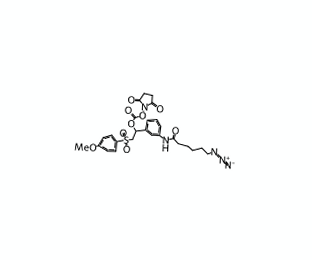 COc1ccc(S(=O)(=O)CC(OC(=O)ON2C(=O)CCC2=O)c2cccc(NC(=O)CCCCCN=[N+]=[N-])c2)cc1